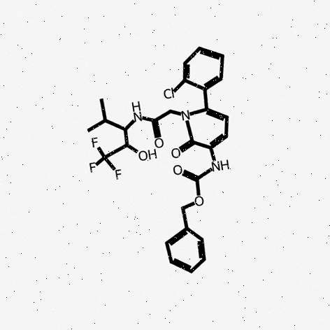 CC(C)C(NC(=O)Cn1c(-c2ccccc2Cl)ccc(NC(=O)OCc2ccccc2)c1=O)C(O)C(F)(F)F